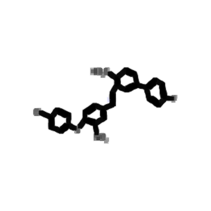 O=C(O)c1ccc(-c2ccc(F)cc2)cc1/C=C/c1ccc(Sc2ccc(Cl)cc2)c([N+](=O)[O-])c1